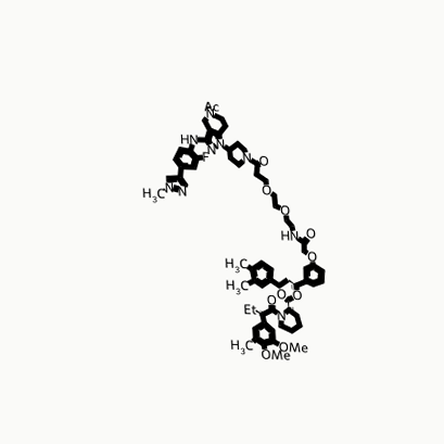 CC[C@H](C(=O)N1CCCC[C@H]1C(=O)O[C@H](CCc1ccc(C)c(C)c1)c1cccc(OCC(=O)NCCOCCOCCC(=O)N2CCC(n3nc(Nc4ccc(-c5cnn(C)c5)cc4F)c4c3CCN(C(C)=O)C4)CC2)c1)c1cc(C)c(OC)c(OC)c1